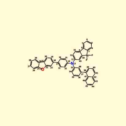 CC1(C)c2ccccc2-c2ccc(N(c3ccc(-c4ccc5c(c4)oc4ccccc45)cc3)c3cccc(-c4cccc5ccccc45)c3)cc21